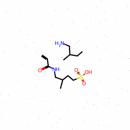 C=CC(=O)NCC(C)CCS(=O)(=O)O.CCC(C)CN